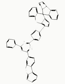 C1=CC2c3ccccc3C3(c4ccccc4Oc4c(-c5ccc(-c6nc(-c7ccccc7)cc(-c7ccc8c(c7)oc7ccccc78)n6)cc5)cccc43)C2C=C1